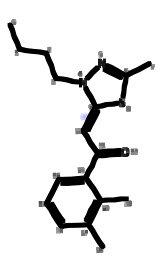 CCCCN1N=C(C)S/C1=C\C(=O)c1cccc(C)c1C